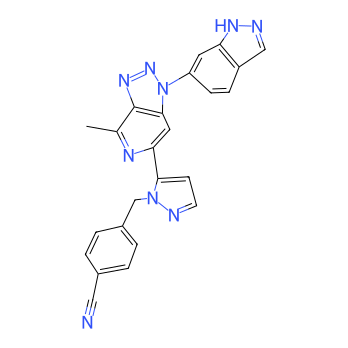 Cc1nc(-c2ccnn2Cc2ccc(C#N)cc2)cc2c1nnn2-c1ccc2cn[nH]c2c1